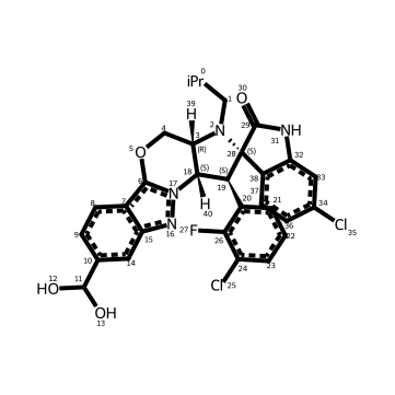 CC(C)CN1[C@H]2COc3c4ccc(C(O)O)cc4nn3[C@H]2[C@H](c2cccc(Cl)c2F)[C@]12C(=O)Nc1cc(Cl)ccc12